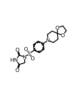 O=C1CN(S(=O)(=O)c2ccc(N3CCC4(CC3)OCCO4)cc2)C(=O)N1